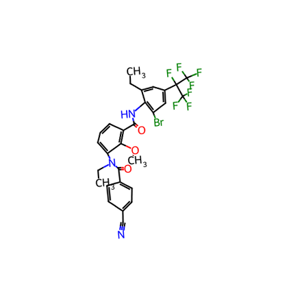 CCc1cc(C(F)(C(F)(F)F)C(F)(F)F)cc(Br)c1NC(=O)c1cccc(N(CC)C(=O)c2ccc(C#N)cc2)c1OC